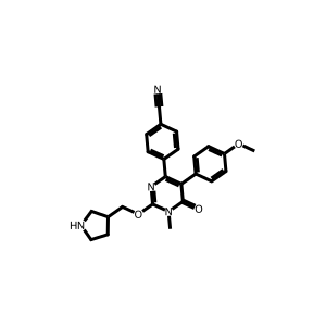 COc1ccc(-c2c(-c3ccc(C#N)cc3)nc(OCC3CCNC3)n(C)c2=O)cc1